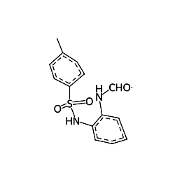 Cc1ccc(S(=O)(=O)Nc2ccccc2N[C]=O)cc1